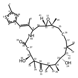 C/C(=C\c1csc(C)n1)C1C[C@@H]2O[C@]2(C)CCCC(C)(C)[C@H](C)[C@H](O)[C@@H](C)C(C)(C)C(=O)C(C)(C)[C@@H](O)CC(=O)N1